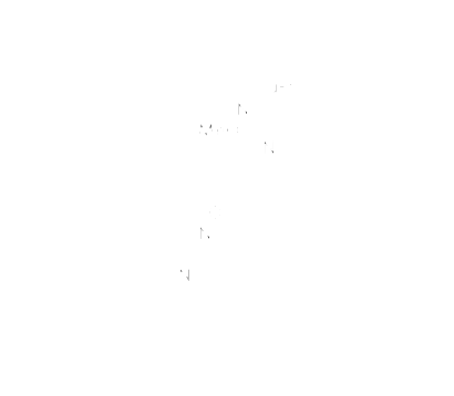 CO/N=C(\c1cccc(CCCO/N=C(\C)c2cccc(C)n2)n1)C(C)C